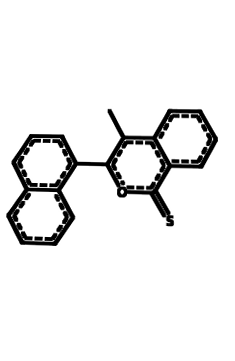 Cc1c(-c2cccc3ccccc23)oc(=S)c2ccccc12